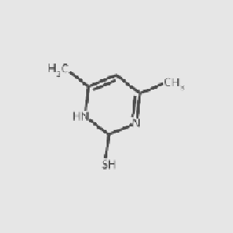 CC1=CC(C)=NC(S)N1